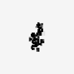 CCn1c(=C(C#N)C(=O)NCC(F)(F)F)sc(=CNc2cccc(N(C)C(C)=O)c2)c1=O